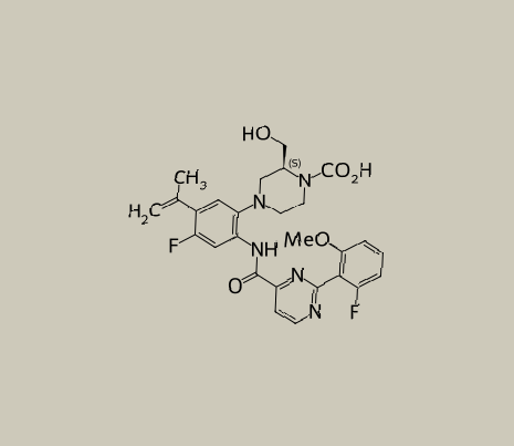 C=C(C)c1cc(N2CCN(C(=O)O)[C@H](CO)C2)c(NC(=O)c2ccnc(-c3c(F)cccc3OC)n2)cc1F